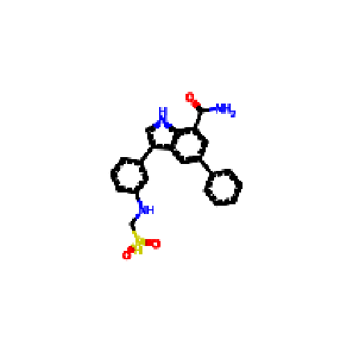 NC(=O)c1cc(-c2ccccc2)cc2c(-c3cccc(NC[SH](=O)=O)c3)c[nH]c12